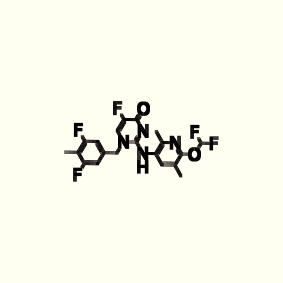 Cc1cc(Nc2nc(=O)c(F)cn2Cc2cc(F)c(C)c(F)c2)c(C)nc1OC(F)F